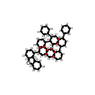 c1ccc(-c2ccc(-c3ccccc3N(c3ccc(-c4cccc5oc6ccccc6c45)cc3)c3cccc(-c4ccccc4)c3-c3ccccc3-c3ccccc3)cc2)cc1